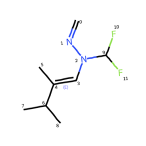 C=NN(/C=C(\C)C(C)C)C(F)F